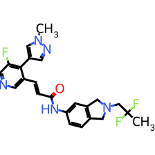 Cn1cc(-c2c(F)cncc2C=CC(=O)Nc2ccc3c(c2)CN(CC(C)(F)F)C3)cn1